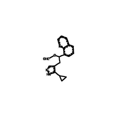 O=COC(Cc1cn[nH]c1C1CC1)c1cccc2cccnc12